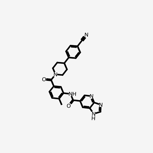 Cc1ccc(C(=O)N2CCC(c3ccc(C#N)cc3)CC2)cc1NC(=O)c1cnc2nc[nH]c2c1